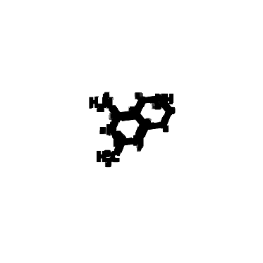 Cc1nc(N)c2c(n1)CCNC2